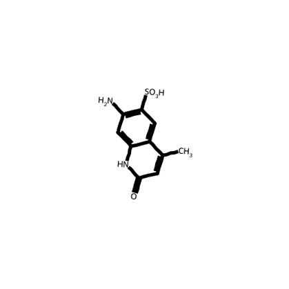 Cc1cc(=O)[nH]c2cc(N)c(S(=O)(=O)O)cc12